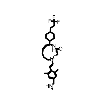 CNCc1cc(C)c(/C=C/N2CCCC=C=C(C3CCC(CCC(F)(F)F)CC3)NC(=O)CC2)c(C)c1